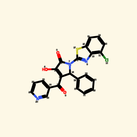 O=C(C1=C(O)C(=O)N(c2nc3c(Cl)cccc3s2)C1c1ccccc1)c1cccnc1